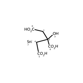 O=C(O)CC(O)(CC(=O)O)C(=O)O.[Sn]